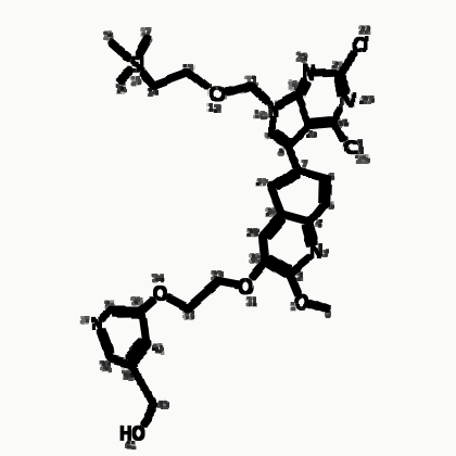 COc1nc2ccc(-c3cn(COCC[Si](C)(C)C)c4nc(Cl)nc(Cl)c34)cc2cc1OCCOc1cncc(CO)c1